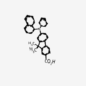 CC1(C)c2cc(C(=O)O)ccc2-c2ccc(N(c3ccccc3)c3cccc4ccccc34)cc21